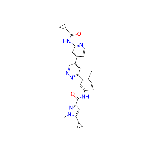 Cc1ccc(NC(=O)c2cc(C3CC3)n(C)n2)cc1-c1cc(-c2ccnc(NC(=O)C3CC3)c2)cnn1